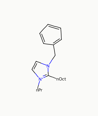 CCCCCCCCc1n(Cc2ccccc2)cc[n+]1CCC